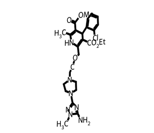 CCOC(=O)C1=C(COCCN2CCN(c3nc(N)n(C)n3)CC2)NC(C)=C(C(=O)OC)C1c1ccccc1Cl